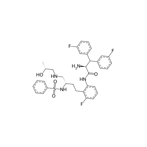 C[C@@H](O)CNC[C@H](CCc1c(F)cccc1NC(=O)[C@@H](N)C(c1cccc(F)c1)c1cccc(F)c1)NS(=O)(=O)c1ccccc1